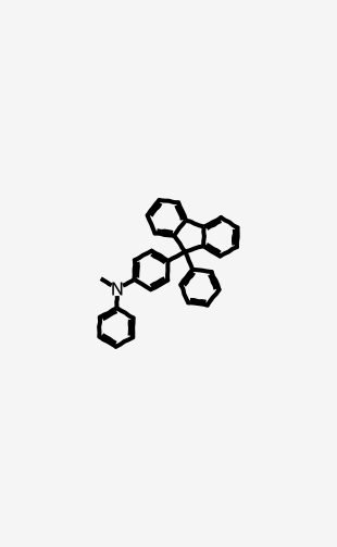 CN(c1ccccc1)c1ccc(C2(c3ccccc3)c3ccccc3-c3ccccc32)cc1